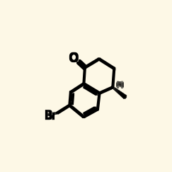 C[C@@H]1CCC(=O)c2cc(Br)ccc21